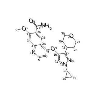 COc1cc2nccc(Oc3cn(C4CC4)nc3C3CCOCC3)c2cc1C(N)=O